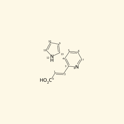 O=C(O)C=Cc1ccccn1.c1cc[nH]c1